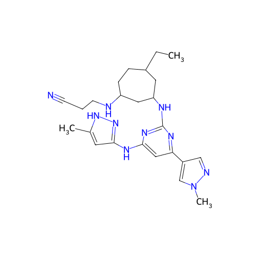 CCC1CCC(NCCC#N)CC(Nc2nc(Nc3cc(C)[nH]n3)cc(-c3cnn(C)c3)n2)C1